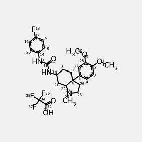 COc1ccc(C23CCC(NC(=O)Nc4ccc(F)cc4)CC2N(C)CC3)cc1OC.O=C(O)C(F)(F)F